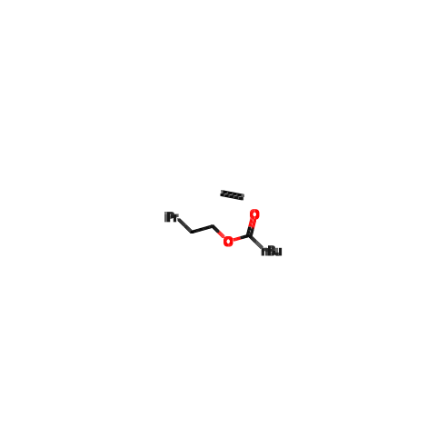 C=C.CCCCC(=O)OCCC(C)C